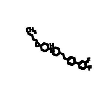 CCCCCOC1CCC([Si@H]2CC[C@H](CCc3ccc(-c4ccc(F)c(F)c4)cc3)CC2)CC1